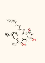 CC(C)=CCC(C)C(O)/C=C/[C@H]1[C@H](O)CC(=O)[C@@H]1CCCCCCC(=O)O